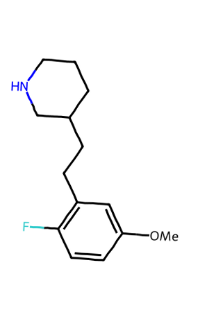 COc1ccc(F)c(CCC2CCCNC2)c1